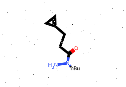 CCCCN(N)C(=O)CCC1=CC1